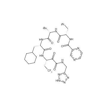 CCC(C)[C@H](NC(=O)[C@H](CC(C)C)NC(=O)c1cnccn1)C(=O)N[C@@H](CC1CCCCC1)C(=O)N[C@@H](CC(F)(F)F)C(=O)C(=O)NCc1nn[nH]n1